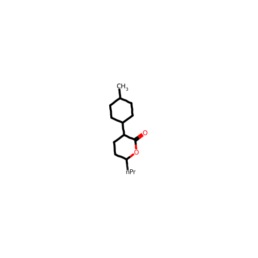 CCCC1CCC(C2CCC(C)CC2)C(=O)O1